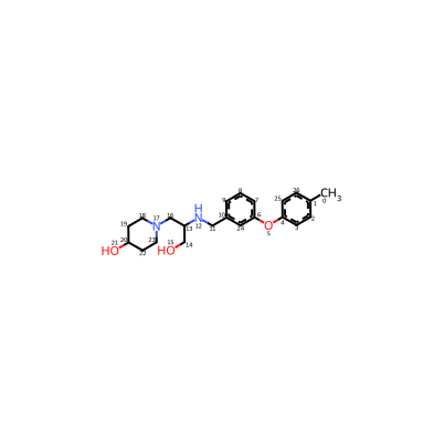 Cc1ccc(Oc2cccc(CNC(CO)CN3CCC(O)CC3)c2)cc1